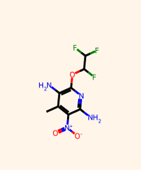 Cc1c(N)c(OC(F)C(F)F)nc(N)c1[N+](=O)[O-]